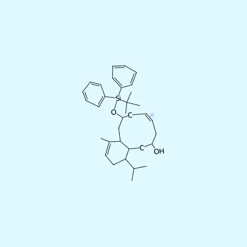 CC1=CCC(C(C)C)C2CC(O)C/C=C\CC(O[Si](c3ccccc3)(c3ccccc3)C(C)(C)C)CC12